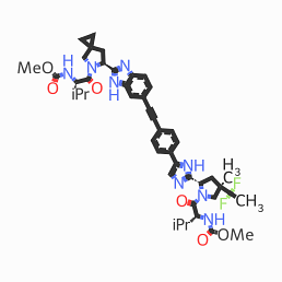 COC(=O)N[C@H](C(=O)N1C[C@](C)(C(C)(F)F)C[C@H]1c1ncc(-c2ccc(C#Cc3ccc4nc([C@@H]5CC6(CC6)CN5C(=O)[C@@H](NC(=O)OC)C(C)C)[nH]c4c3)cc2)[nH]1)C(C)C